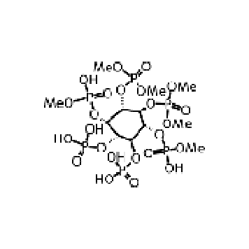 COP(=O)(O)O[C@@H]1[C@@H](OP(=O)(O)O)[C@H](OP(=O)(O)O)[C@H](OP(=O)(O)OC)[C@H](OP(=O)(OC)OC)[C@H]1OP(=O)(OC)OC